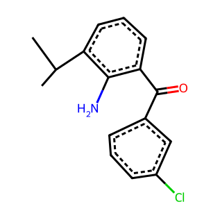 CC(C)c1cccc(C(=O)c2cccc(Cl)c2)c1N